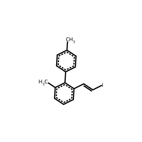 Cc1ccc(-c2c(C)cccc2C=CI)cc1